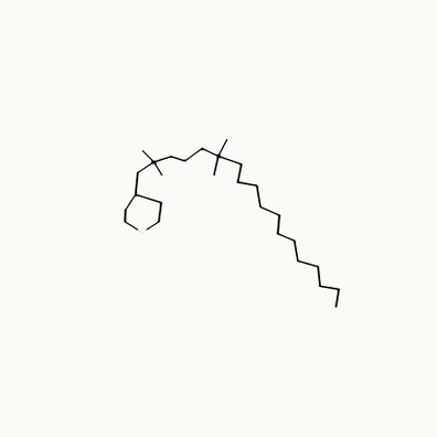 CCCCCCCCCCCCC(C)(C)CCCC(C)(C)CC1CCNCC1